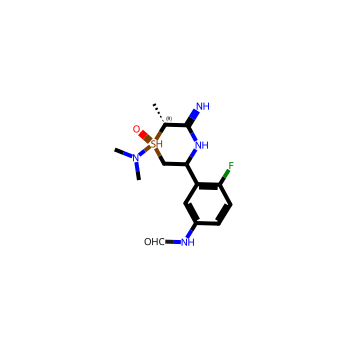 C[C@@H]1C(=N)NC(c2cc(NC=O)ccc2F)C[SH]1(=O)N(C)C